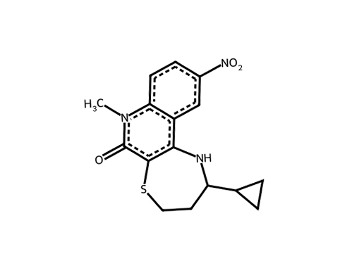 Cn1c(=O)c2c(c3cc([N+](=O)[O-])ccc31)NC(C1CC1)CCS2